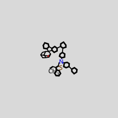 C/C=C\c1c(CN(c2ccc(-c3ccccc3)cc2)c2ccc(-c3ccccc3-c3ccc4c(c3)-c3ccccc3C43C4CC5CC(C4)CC3C5)cc2)sc2ccccc12